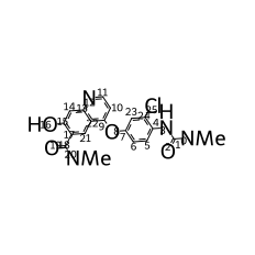 CNC(=O)Nc1ccc(Oc2ccnc3cc(O)c(C(=O)NC)cc23)cc1Cl